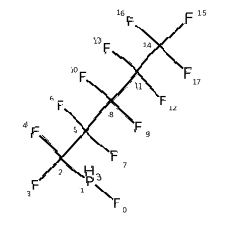 F[PH3]C(F)(F)C(F)(F)C(F)(F)C(F)(F)C(F)(F)F